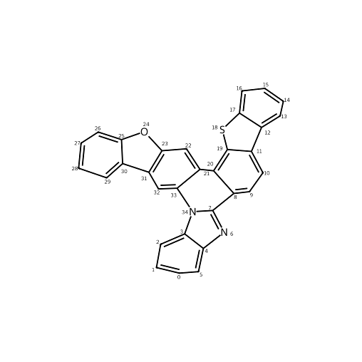 c1ccc2c(c1)nc1c3ccc4c5ccccc5sc4c3c3cc4oc5ccccc5c4cc3n21